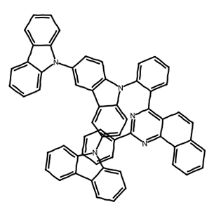 c1ccc(-c2nc(-c3ccccc3-n3c4ccc(-n5c6ccccc6c6ccccc65)cc4c4cc(-n5c6ccccc6c6ccccc65)ccc43)c3ccc4ccccc4c3n2)cc1